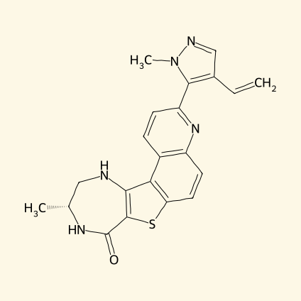 C=Cc1cnn(C)c1-c1ccc2c(ccc3sc4c(c32)NC[C@@H](C)NC4=O)n1